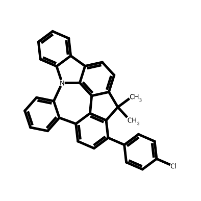 CC1(C)c2ccc3c4ccccc4n4c3c2-c2c(ccc(-c3ccc(Cl)cc3)c21)-c1ccccc1-4